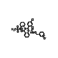 CS(=O)(=O)N[C@H]1CCCC[C@@H]1N1C(=O)c2ccccc2[C@@H](C(=O)NOCc2ccc[n+]([O-])c2)[C@@H]1c1ccc(Cl)cc1Cl